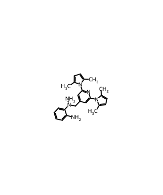 Cc1ccc(C)n1-c1cc(CN(N)c2ccccc2N)cc(-n2c(C)ccc2C)n1